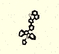 c1ccc(-n2c3ccccc3c3c(-c4cccc(-c5ccc6c(c5)-c5cccc7cccc(c57)O6)c4)cc4ccccc4c32)cc1